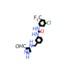 O=Cc1n[nH]cc1NCc1cccc(NC(=O)Nc2cc(Cl)cc(C(F)(F)F)c2)c1